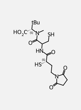 CN(C(=O)C(CS)NC(=O)[C@@H](S)CCN1C(=O)CCC1=O)[C@H](C(=O)O)C(C)(C)C